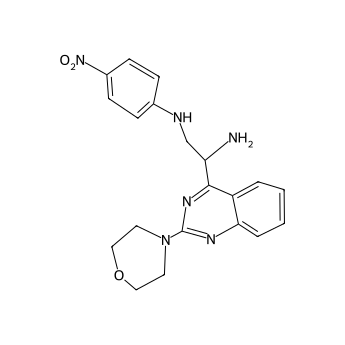 NC(CNc1ccc([N+](=O)[O-])cc1)c1nc(N2CCOCC2)nc2ccccc12